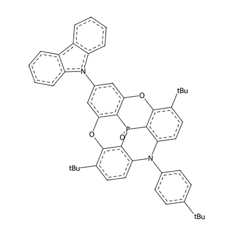 CC(C)(C)c1ccc(N2c3ccc(C(C)(C)C)c4c3P3(=O)c5c(cc(-n6c7ccccc7c7ccccc76)cc5Oc5c(C(C)(C)C)ccc2c53)O4)cc1